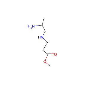 COC(=O)CCNCC(C)N